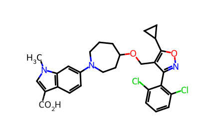 Cn1cc(C(=O)O)c2ccc(N3CCCC(OCc4c(-c5c(Cl)cccc5Cl)noc4C4CC4)CC3)cc21